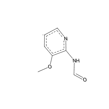 COc1c[c]cnc1NC=O